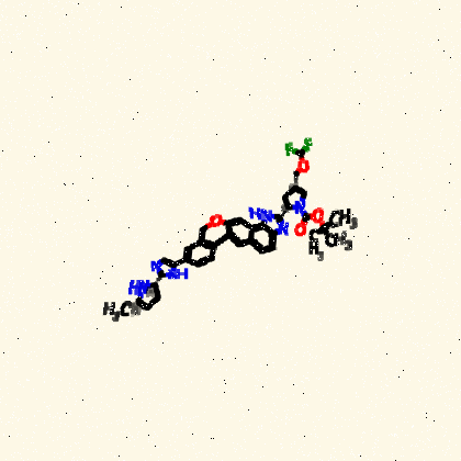 C[C@H]1CC[C@@H](c2ncc(-c3ccc4c(c3)COc3cc5c(ccc6nc([C@@H]7C[C@H](COC(F)F)CN7C(=O)OC(C)(C)C)[nH]c65)cc3-4)[nH]2)N1